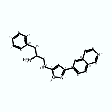 NC(CNc1cc(-c2ccc3cnccc3c2)no1)Cc1ccccc1